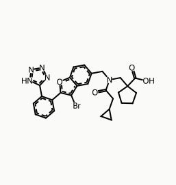 O=C(CC1CC1)N(Cc1ccc2oc(-c3ccccc3-c3nnn[nH]3)c(Br)c2c1)CC1(C(=O)O)CCCC1